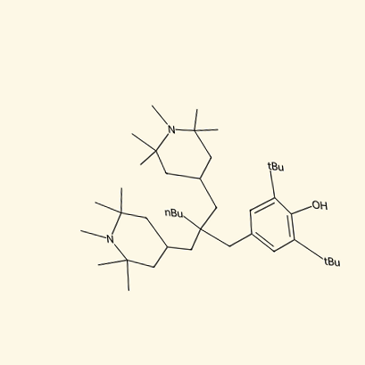 CCCCC(Cc1cc(C(C)(C)C)c(O)c(C(C)(C)C)c1)(CC1CC(C)(C)N(C)C(C)(C)C1)CC1CC(C)(C)N(C)C(C)(C)C1